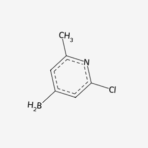 Bc1cc(C)nc(Cl)c1